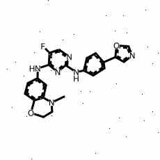 CN1CCOc2ccc(Nc3nc(Nc4ccc(-c5cnco5)cc4)ncc3F)cc21